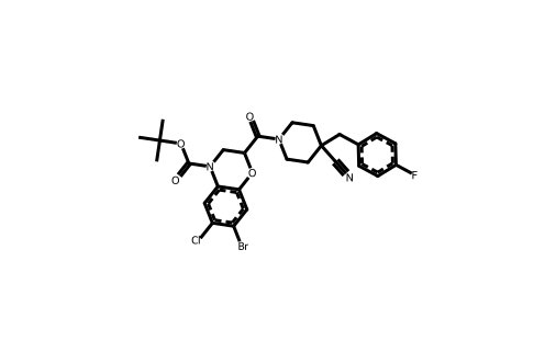 CC(C)(C)OC(=O)N1CC(C(=O)N2CCC(C#N)(Cc3ccc(F)cc3)CC2)Oc2cc(Br)c(Cl)cc21